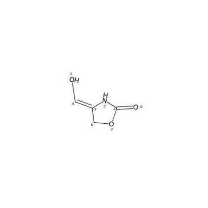 O=C1NC(=CO)CO1